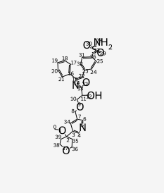 COC1(c2cncc(COCC(O)c3nc(-c4ccccc4)c(-c4ccc(S(N)(=O)=O)cc4)o3)c2)CCOCC1